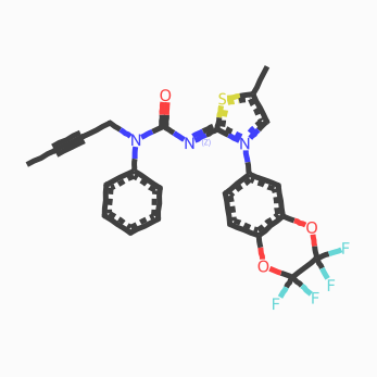 CC#CCN(C(=O)/N=c1\sc(C)cn1-c1ccc2c(c1)OC(F)(F)C(F)(F)O2)c1ccccc1